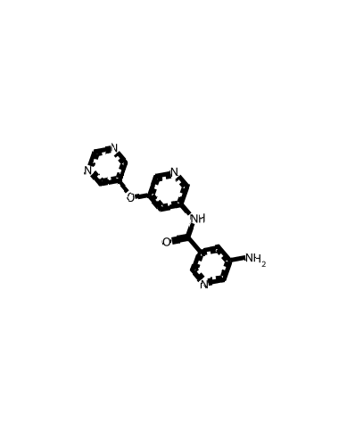 Nc1cncc(C(=O)Nc2cncc(Oc3cncnc3)c2)c1